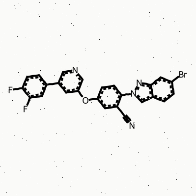 N#Cc1cc(Oc2cncc(-c3ccc(F)c(F)c3)c2)ccc1-n1cc2ccc(Br)cc2n1